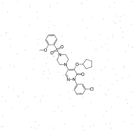 COc1ccccc1S(=O)(=O)N1CCN(c2cnn(-c3cccc(Cl)c3)c(=O)c2OC2CCCC2)CC1